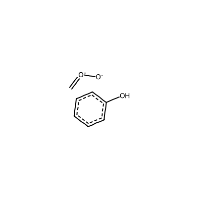 C=[O+][O-].Oc1ccccc1